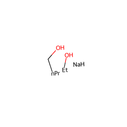 CCCCO.CCO.[NaH]